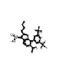 CCCCC1=Cc2c(ccc(C(C)C)c2-c2cc(C(C)(C)C)cc(C(C)(C)C)c2)[CH]1[Zr]([Cl])[Cl]